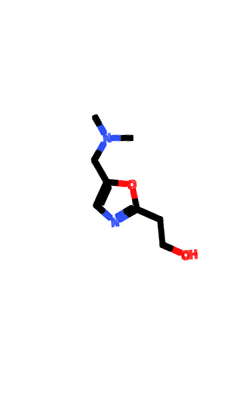 CN(C)Cc1cnc(CCO)o1